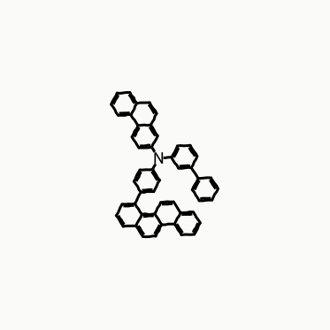 c1ccc(-c2cccc(N(c3ccc(-c4cccc5ccc6c7ccccc7ccc6c45)cc3)c3ccc4c(ccc5ccccc54)c3)c2)cc1